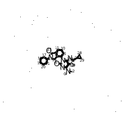 CN(C)c1nc(=O)n(-c2cccc3c2CN(c2ccccc2)C3=O)c2nc(C3CC3)sc12